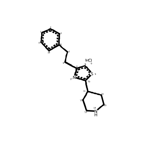 Cl.c1ccc(CCc2csc(C3CCNCC3)n2)cc1